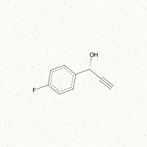 C#C[C@@H](O)c1ccc(F)cc1